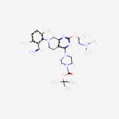 Cc1ccc(C)c(N2CCc3c(nc(O[C@H](C)CN(C)C)nc3N3CCN(C(=O)OC(C)(C)C)CC3)C2)c1C=N